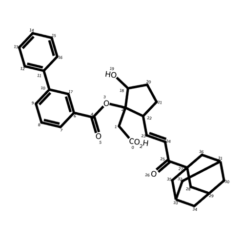 O=C(O)CC1(OC(=O)c2cccc(-c3ccccc3)c2)C(O)CCC1C=CC(=O)C12CC3CC(CC(C3)C1)C2